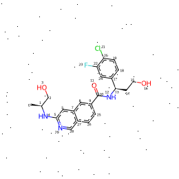 C[C@@H](CO)Nc1cc2cc(C(=O)N[C@H](CCO)c3ccc(Cl)c(F)c3)ccc2cn1